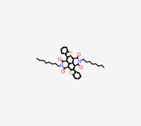 CCCCCCCCN1C(=O)c2c3sc4ccccc4c3c3c4c(c5sc6ccccc6c5c(c24)C1=O)C(=O)N(CCCCCCCC)C3=O